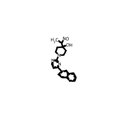 CC(N=O)C1(O)CCN(c2nccc(-c3ccc4ccccc4c3)n2)CC1